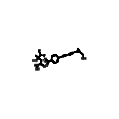 CC(O)(C(F)F)[C@H](NC(=O)c1ccc(C#CC#CC2CC2CO)cc1)C(=O)NO